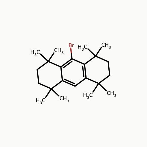 CC1(C)CCC(C)(C)c2c1cc1c(c2Br)C(C)(C)CCC1(C)C